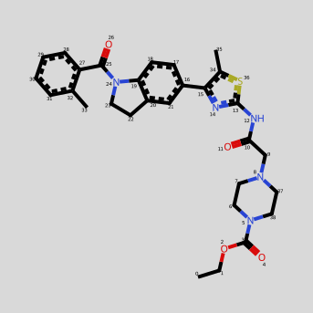 CCOC(=O)N1CCN(CC(=O)Nc2nc(-c3ccc4c(c3)CCN4C(=O)c3ccccc3C)c(C)s2)CC1